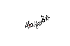 C=C(/C=C\C(=C/N)CNC(=O)N1CCN(c2ccc(-n3cnc(C)n3)c(OCC)c2)CC1)C(F)(F)F